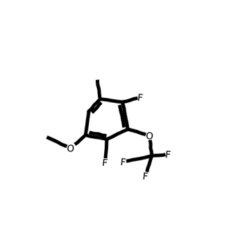 COc1cc(C)c(F)c(OC(F)(F)F)c1F